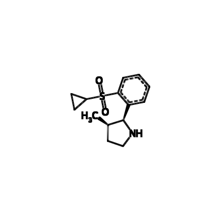 C[C@@H]1CCN[C@@H]1c1ccccc1S(=O)(=O)C1CC1